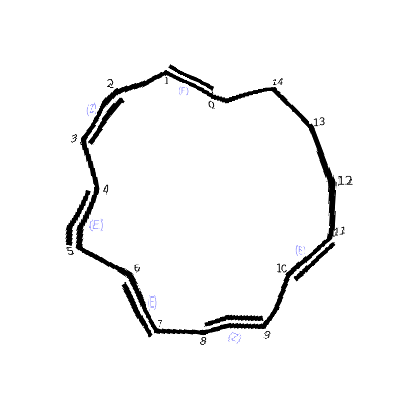 [C]1=C/C=C\C=C\C=C\C=C/C=C/CCC/1